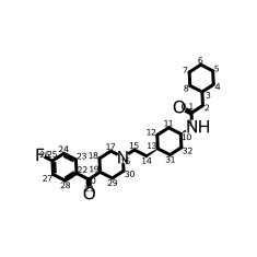 O=C(CC1CCCCC1)N[C@H]1CC[C@H](CCN2CCC(C(=O)c3ccc(F)cc3)CC2)CC1